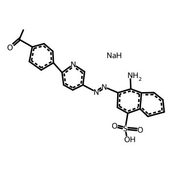 CC(=O)c1ccc(-c2ccc(N=Nc3cc(S(=O)(=O)O)c4ccccc4c3N)cn2)cc1.[NaH]